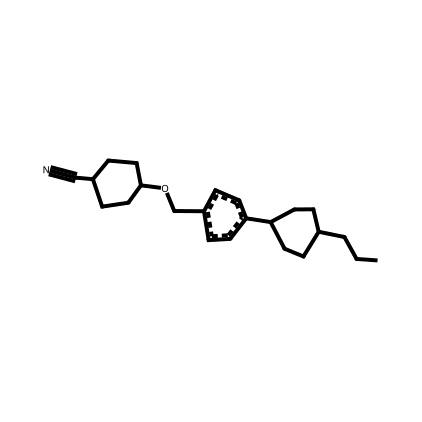 CCCC1CCC(c2ccc(COC3CCC(C#N)CC3)cc2)CC1